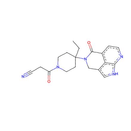 CCC1(N2Cc3c[nH]c4nccc(c34)C2=O)CCN(C(=O)CC#N)CC1